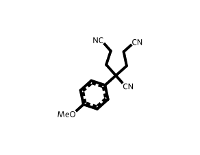 COc1ccc(C(C#N)(CCC#N)CCC#N)cc1